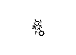 CCON=C(OP(C)(=O)SC(C)C)c1ccccc1F